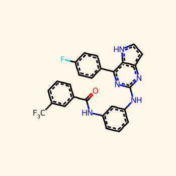 O=C(Nc1cccc(Nc2nc(-c3ccc(F)cc3)c3[nH]ccc3n2)c1)c1cccc(C(F)(F)F)c1